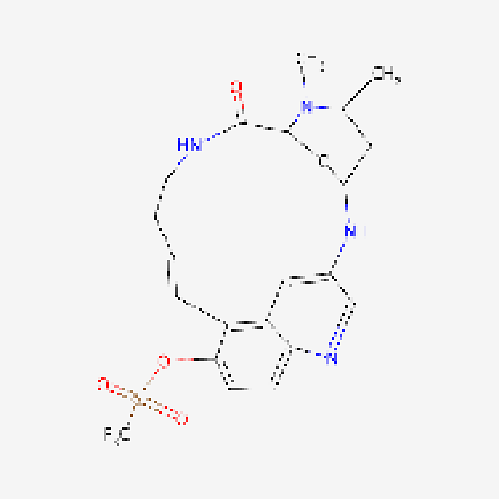 CC1CC2CC(C(=O)NCC/C=C/c3c(OS(=O)(=O)C(F)(F)F)ccc4ncc(cc34)N2)N1C